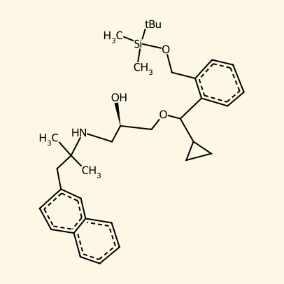 CC(C)(Cc1ccc2ccccc2c1)NC[C@@H](O)COC(c1ccccc1CO[Si](C)(C)C(C)(C)C)C1CC1